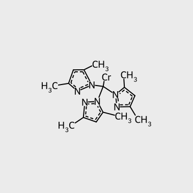 Cc1cc(C)n([C]([Cr])(n2nc(C)cc2C)n2nc(C)cc2C)n1